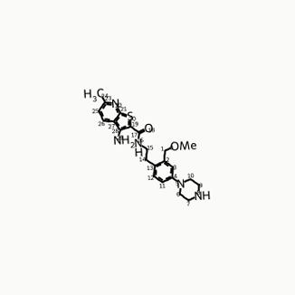 COCc1cc(N2CCNCC2)ccc1CCNC(=O)c1sc2nc(C)ccc2c1N